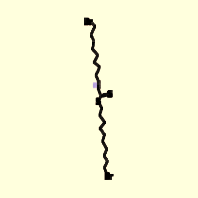 S=C(/C=C/CCCCCCCCBr)SCCCCCCCCCCBr